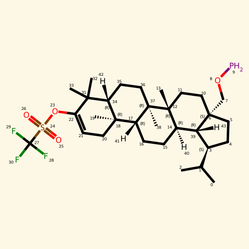 CC(C)[C@@H]1CC[C@]2(COP)CC[C@]3(C)[C@H](CC[C@@H]4[C@@]5(C)CC=C(OS(=O)(=O)C(F)(F)F)C(C)(C)[C@@H]5CC[C@]43C)[C@@H]12